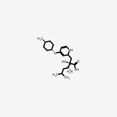 CC(C)C[C@@H](N)[C@](O)(CC1C=C(O[C@H]2CC[C@H](C)CC2)C=CN1)C(=O)O